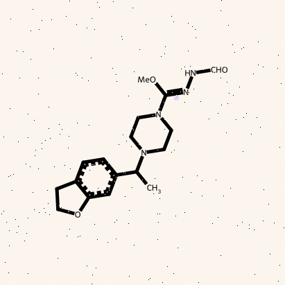 CO/C(=N\NC=O)N1CCN(C(C)c2ccc3c(c2)OCC3)CC1